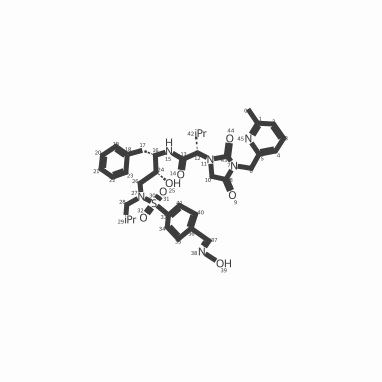 Cc1cccc(CN2C(=O)CN([C@H](C(=O)N[C@@H](Cc3ccccc3)[C@H](O)CN(CC(C)C)S(=O)(=O)c3ccc(C=NO)cc3)C(C)C)C2=O)n1